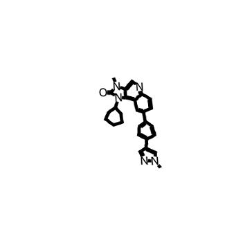 Cn1cc(-c2ccc(-c3ccc4ncc5c(c4c3)n(C3CCCCC3)c(=O)n5C)cc2)cn1